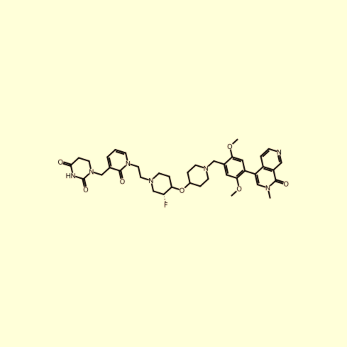 COc1cc(-c2cn(C)c(=O)c3cnccc23)c(OC)cc1CN1CCC(OC2CCN(CCn3cccc(CN4CCC(=O)NC4=O)c3=O)C[C@H]2F)CC1